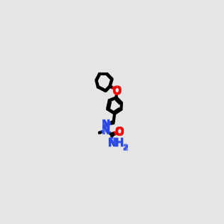 CN(N=Cc1ccc(OC2CCCCCC2)cc1)C(N)=O